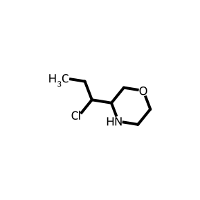 CCC(Cl)C1COCCN1